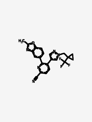 Cc1nc2cc(-c3nc(C#N)ccc3-c3cnn(CC4(C(F)(F)F)CC4)c3)ccc2o1